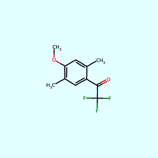 COc1cc(C)c(C(=O)C(F)(F)F)cc1C